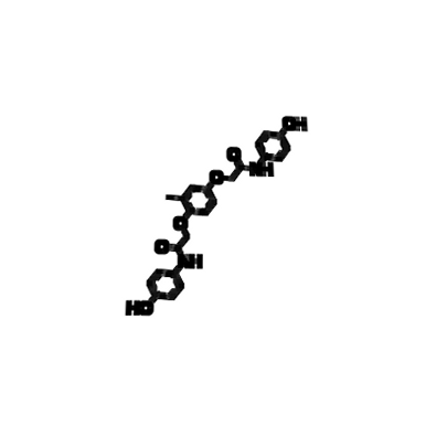 Cc1cc(OCC(=O)Nc2ccc(O)cc2)ccc1OCC(=O)Nc1ccc(O)cc1